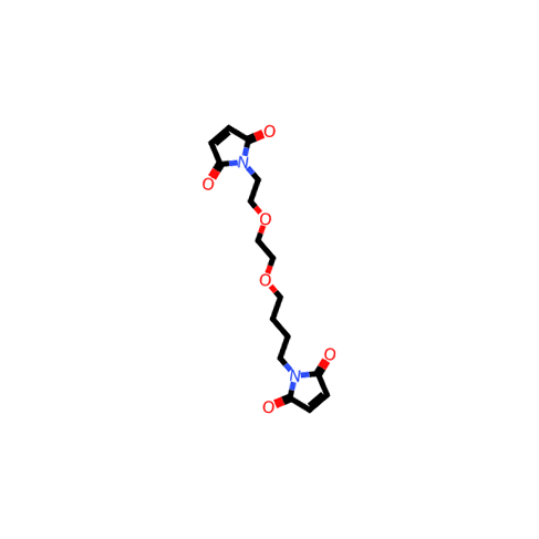 O=C1C=CC(=O)N1CCCCOCCOCCN1C(=O)C=CC1=O